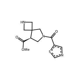 COC(=O)[C@@H]1CN(C(=O)c2cncs2)CC12CNC2